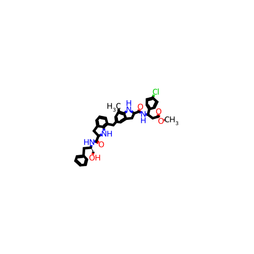 COC(=O)CC(NC(=O)C1Cc2cc(Cc3cccc4c3NC(C(=O)N[C@H](CO)Cc3ccccc3)C4)cc(C)c2N1)c1ccc(Cl)cc1